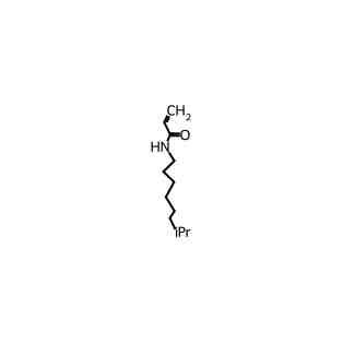 C=CC(=O)NCCCCCCC(C)C